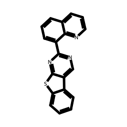 c1cnc2c(-c3ncc4c(n3)sc3ccccc34)cccc2c1